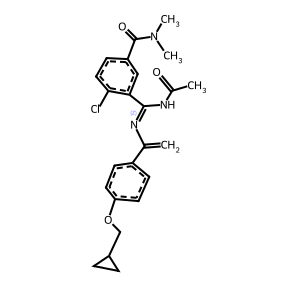 C=C(/N=C(\NC(C)=O)c1cc(C(=O)N(C)C)ccc1Cl)c1ccc(OCC2CC2)cc1